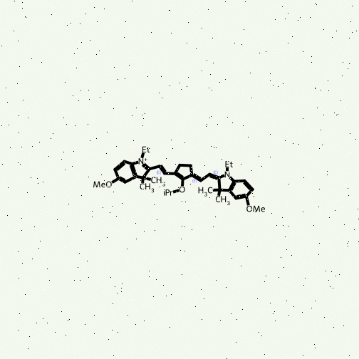 CCN1/C(=C/C=C2\CCC(/C=C/C3=[N+](CC)c4ccc(OC)cc4C3(C)C)=C2OC(C)C)C(C)(C)c2cc(OC)ccc21